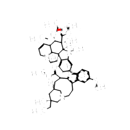 CC[C@]1(O)C[C@H]2CN(CCc3c([nH]c4ccc(SC)cc34)[C@@](C(=O)OC)(C3C=C4C(=CC3OC)N(C)[C@H]3[C@@](O)(C(=O)OC)[C@H](OC(C)=O)[C@]5(CC)C=CCN6CC[C@]43[C@@H]65)C2)C1